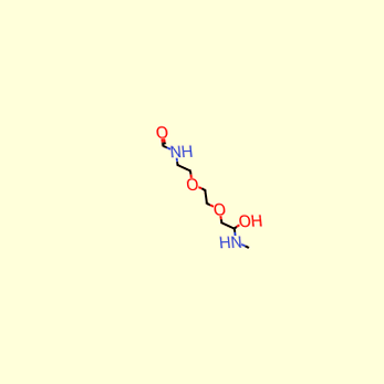 CNC(O)COCCOCCNC=O